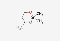 CC1CCO[Si](C)(C)O1